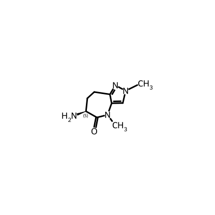 CN1C(=O)[C@@H](N)CCc2nn(C)cc21